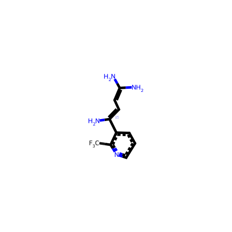 NC(N)=C/C=C(\N)c1cccnc1C(F)(F)F